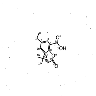 CCc1cc(C(=O)O)c(OC(C)=O)c(C(C)(C)C)c1